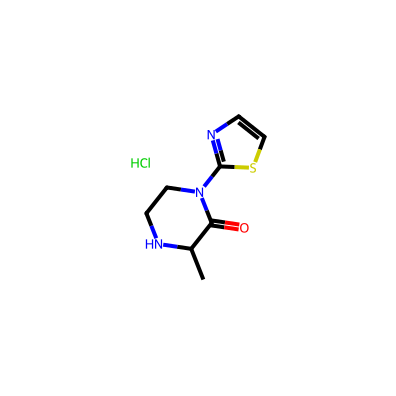 CC1NCCN(c2nccs2)C1=O.Cl